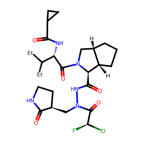 CCC(CC)[C@H](NC(=O)C1CC1)C(=O)N1C[C@@H]2CCC[C@@H]2[C@H]1C(=O)NN(C[C@@H]1CCNC1=O)C(=O)[C@H](F)Cl